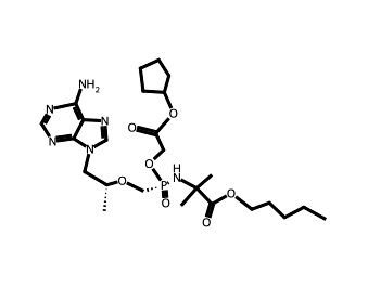 CCCCCOC(=O)C(C)(C)N[P@](=O)(CO[C@H](C)Cn1cnc2c(N)ncnc21)OCC(=O)OC1CCCC1